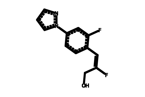 OC/C(F)=C\c1ccc(-n2cccn2)cc1F